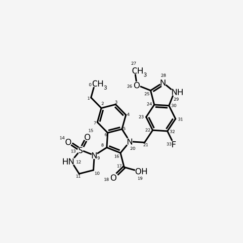 CCc1ccc2c(c1)c(N1CCNS1(=O)=O)c(C(=O)O)n2Cc1cc2c(OC)n[nH]c2cc1F